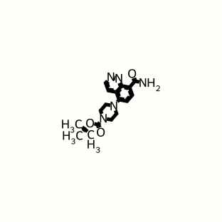 CC(C)(C)OC(=O)N1CCN(c2ccc(C(N)=O)c3nnccc23)CC1